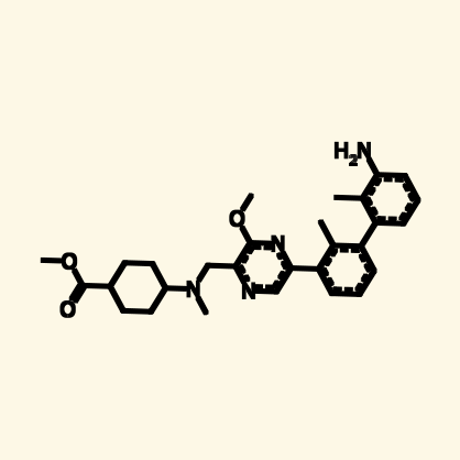 COC(=O)C1CCC(N(C)Cc2ncc(-c3cccc(-c4cccc(N)c4C)c3C)nc2OC)CC1